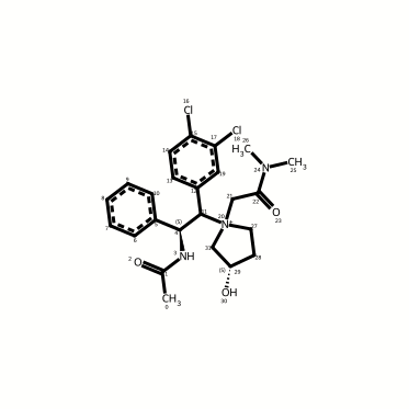 CC(=O)N[C@@H](c1ccccc1)C(c1ccc(Cl)c(Cl)c1)[N+]1(CC(=O)N(C)C)CC[C@H](O)C1